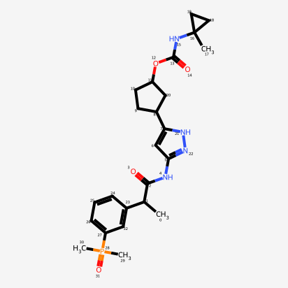 CC(C(=O)Nc1cc(C2CCC(OC(=O)NC3(C)CC3)C2)[nH]n1)c1cccc(P(C)(C)=O)c1